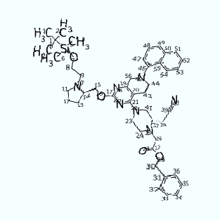 CC(C)(C)[Si](C)(C)OCCN1CCC[C@@H]1COc1nc2c(c(N3CCN(CC(=O)OCc4ccccc4)[C@@H](CC#N)C3)n1)CCN(c1cccc3ccccc13)C2